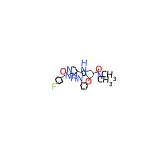 CN(C)C(=O)C1CC(=O)c2c([nH]c(-c3ccnc(NC(=O)c4ccc(F)cc4)c3)c2Nc2ccccc2)C1